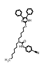 CCCCCCCN(CCCCCSc1nc(-c2ccccc2)c(-c2ccccc2)[nH]1)C(=O)Nc1ccc(C#N)cc1